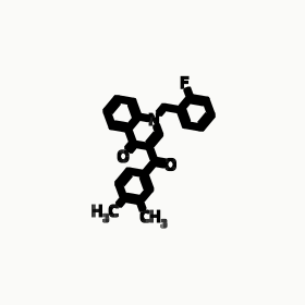 Cc1ccc(C(=O)c2cn(Cc3ccccc3F)c3ccccc3c2=O)cc1C